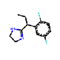 CCC(C1=NCCN1)c1cc(F)ccc1F